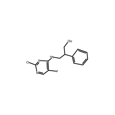 OCC(CNc1nc(Cl)ncc1F)c1ccccc1